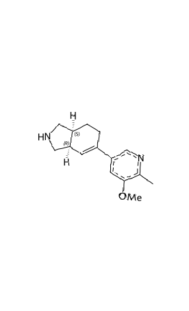 COc1cc(C2=C[C@H]3CNC[C@H]3CC2)cnc1C